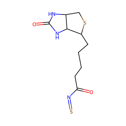 O=C(CCCCC1SCC2NC(=O)NC21)N=S